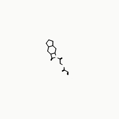 C=CC(=O)OCC(=O)N1C(=O)C2CC3CCCC3CC21